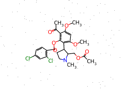 COc1cc(OC)c(C2CCN(C)C2COC(C)=O)c(OC(=O)c2ccc(Cl)cc2Cl)c1C(C)=O